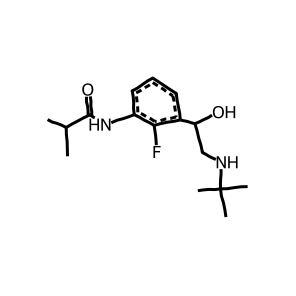 CC(C)C(=O)Nc1cccc(C(O)CNC(C)(C)C)c1F